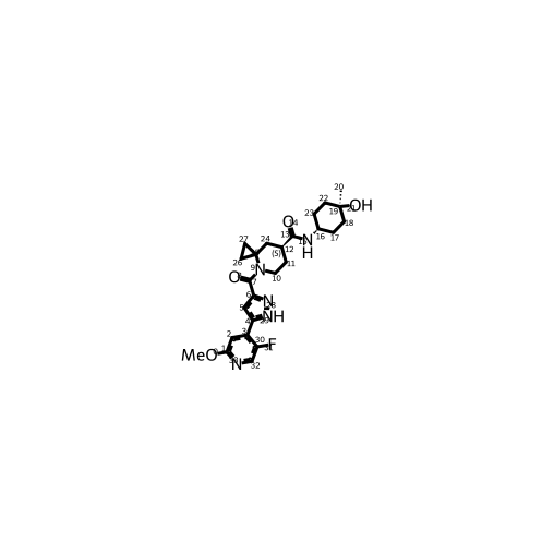 COc1cc(-c2cc(C(=O)N3CC[C@H](C(=O)N[C@H]4CC[C@](C)(O)CC4)CC34CC4)n[nH]2)c(F)cn1